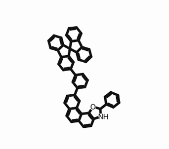 c1ccc(C2Nc3ccc4ccc5ccc(-c6cccc(-c7ccc8c(c7)C7(c9ccccc9-c9ccccc97)c7ccccc7-8)c6)cc5c4c3O2)cc1